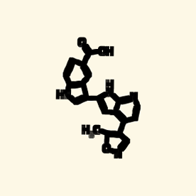 Cc1oncc1-c1ccnc2[nH]c(-c3c[nH]c4ccc(C(=O)O)cc34)cc12